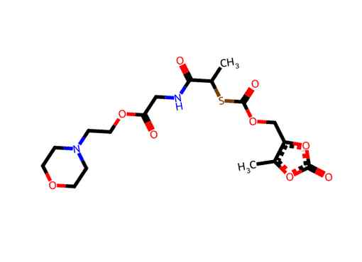 Cc1oc(=O)oc1COC(=O)SC(C)C(=O)NCC(=O)OCCN1CCOCC1